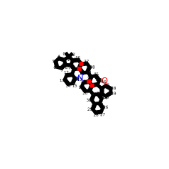 CC1(C)c2ccccc2-c2c(-c3ccccc3N(c3ccc(-c4ccc5ccccc5c4)cc3)c3ccccc3-c3ccc4c(c3)oc3ccccc34)cccc21